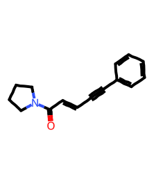 O=C(C=CC#Cc1ccccc1)N1CCCC1